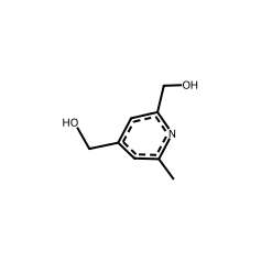 Cc1cc(CO)cc(CO)n1